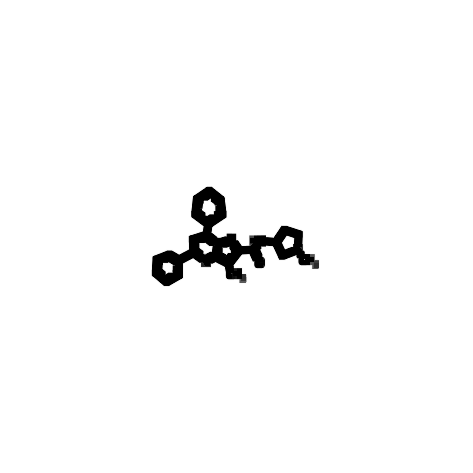 Cc1c(C(=O)NC2CCN(C)C2)nn2c(-c3ccccc3)cc(-c3ccccc3)nc12